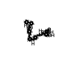 O=C(Nc1ccccc1-c1ccccc1)OC1CCN(CCc2cccc(Nc3ccc(CCNCC(O)c4ccc(O)c5[nH]c(=O)ccc45)cc3)c2)CC1